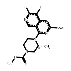 CSc1nc(N2CCN(C(=O)OC(C)(C)C)C[C@H]2C)c2cnc(Cl)c(F)c2n1